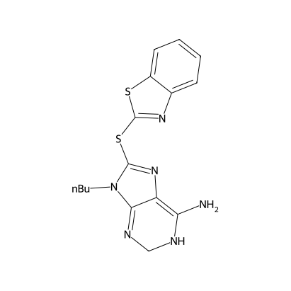 CCCCn1c(Sc2nc3ccccc3s2)nc2c1=NCNC=2N